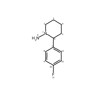 NN1CCCCC1c1ccc(F)cc1